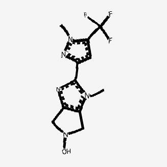 Cn1nc(-c2nc3c(n2C)CN(O)C3)cc1C(F)(F)F